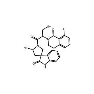 CC(C)CC(C(=O)N1C[C@]2(C[C@H]1C#N)C(=O)Nc1ccccc12)N1CCc2cccc(F)c2C1=O